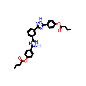 CCCC(=O)Oc1ccc(-c2nc(-c3cccc(-c4n[nH]c(-c5ccc(OC(=O)CCC)cc5)n4)c3)n[nH]2)cc1